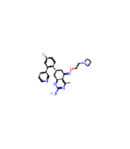 Cc1nc(N)nc2c1/C(=N/OCCN1CCC1)C[C@H](c1ccc(F)cc1-c1cccnc1)C2